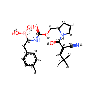 Cc1ccc(CC(NC(=O)OC[C@H]2CCCN2C(=O)C(C#N)=CC(C)(C)C)B(O)O)cc1